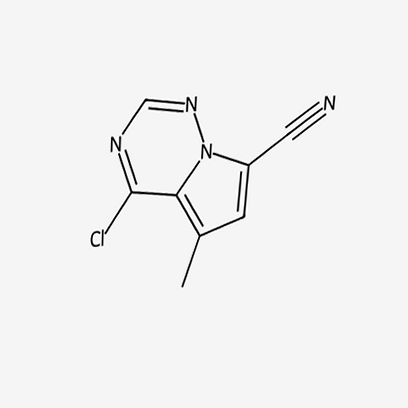 Cc1cc(C#N)n2ncnc(Cl)c12